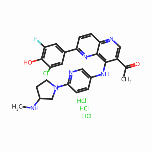 CNC1CCN(c2ccc(Nc3c(C(C)=O)cnc4ccc(-c5cc(F)c(O)c(Cl)c5)nc34)cn2)C1.Cl.Cl.Cl